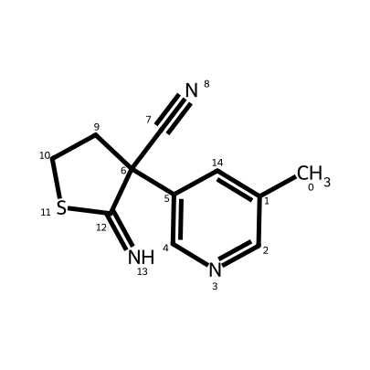 Cc1cncc(C2(C#N)CCSC2=N)c1